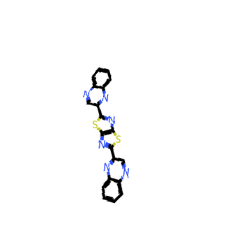 c1ccc2nc(-c3nc4sc(-c5cnc6ccccc6n5)nc4s3)cnc2c1